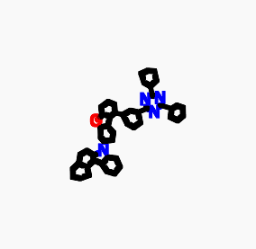 c1ccc(-c2nc(-c3ccccc3)nc(-c3cccc(-c4cccc5oc6cc(-n7c8ccccc8c8c9ccccc9ccc87)ccc6c45)c3)n2)cc1